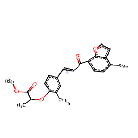 CSc1ccc(C(=O)/C=C/c2ccc(OC(C)C(=O)OC(C)(C)C)c(C)c2)c2occc12